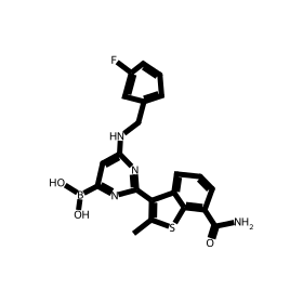 Cc1sc2c(C(N)=O)cccc2c1-c1nc(NCc2cccc(F)c2)cc(B(O)O)n1